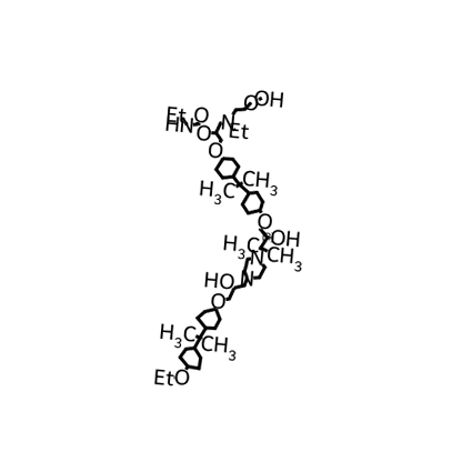 CCNC(=O)OC(COC1CCC(C(C)(C)C2CCC(OC[C@H](O)C(C)(C)N3CCN(CC(O)COC4CCC(C(C)(C)C5CCC(OCC)CC5)CC4)CC3)CC2)CC1)CN(CC)CCOO